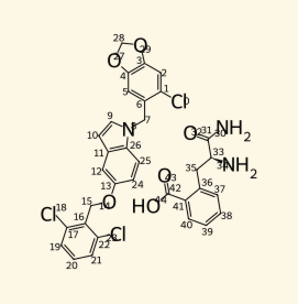 Clc1cc2c(cc1Cn1ccc3cc(OCc4c(Cl)cccc4Cl)ccc31)OCO2.NC(=O)[C@@H](N)Cc1ccccc1C(=O)O